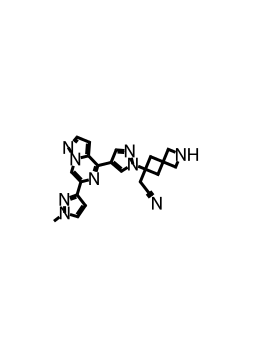 Cn1ccc(-c2cn3nccc3c(-c3cnn(C4(CC#N)CC5(CNC5)C4)c3)n2)n1